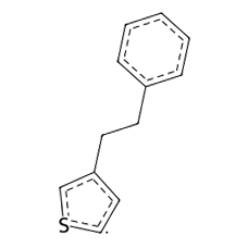 [c]1cc(CCc2ccccc2)cs1